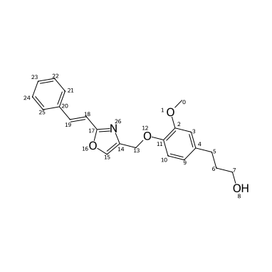 COc1cc(CCCO)ccc1OCc1coc(/C=C/c2ccccc2)n1